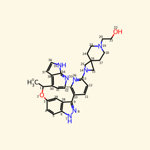 CC(Oc1ccc2[nH]nc(-c3ccc(N4CC5(CCN(CCO)CC5)C4)nc3)c2c1)c1ccnc2[nH]ccc12